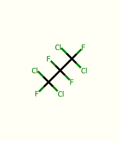 FC(Cl)(Cl)C(F)(F)C(F)(Cl)Cl